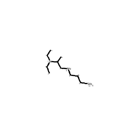 CCN(CC)C(C)CNCCC[SiH3]